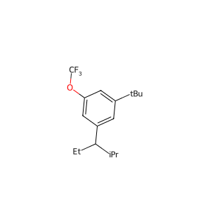 CCC(c1cc(OC(F)(F)F)cc(C(C)(C)C)c1)C(C)C